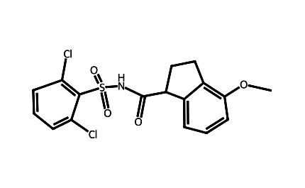 COc1cccc2c1CCC2C(=O)NS(=O)(=O)c1c(Cl)cccc1Cl